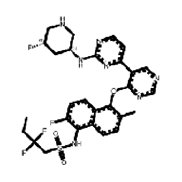 CCC(F)(F)CS(=O)(=O)Nc1c(F)ccc2c(Oc3ncncc3-c3ccnc(N[C@@H]4CNC[C@@H](F)C4)n3)c(C)ccc12